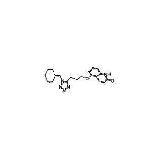 O=c1ccc2c(OCCCc3nnnn3CC3CCCCC3)cccc2[nH]1